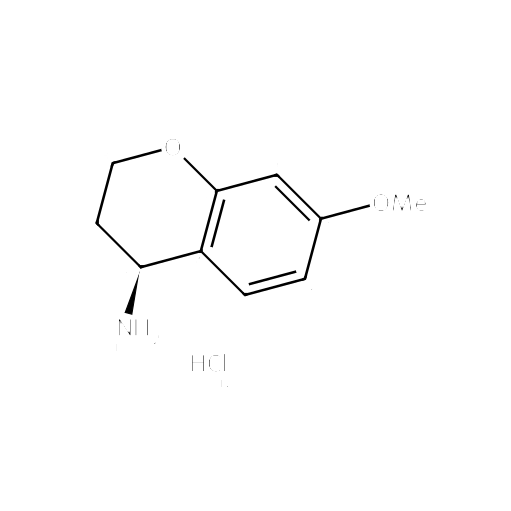 COc1ccc2c(c1)OCC[C@@H]2N.Cl